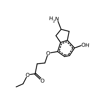 CCOC(=O)CCOc1ccc(O)c2c1CC(N)C2